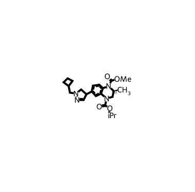 COC(=O)N1c2ccc(C3C=NN(CC4CCC4)C3)cc2N(C(=O)OC(C)C)C[C@@H]1C